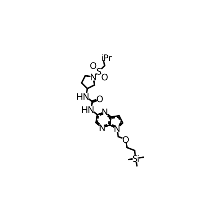 CC(C)CS(=O)(=O)N1CCC(NC(=O)Nc2cnc3c(ccn3COCC[Si](C)(C)C)n2)C1